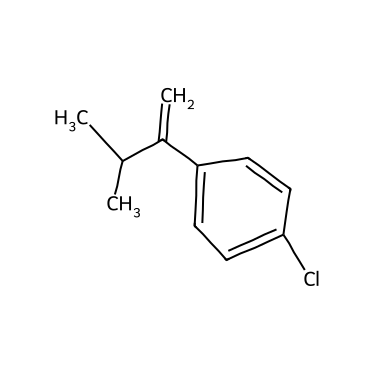 C=C(c1ccc(Cl)cc1)C(C)C